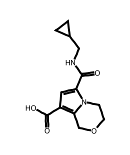 O=C(O)c1cc(C(=O)NCC2CC2)n2c1COCC2